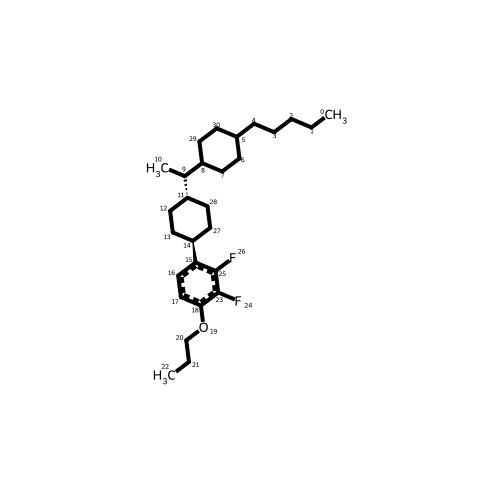 CCCCCC1CCC(C(C)[C@H]2CC[C@H](c3ccc(OCCC)c(F)c3F)CC2)CC1